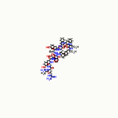 CCC(C)[C@H](NC(=O)[C@H](Cc1ccccc1)NC(=O)[C@H](CO)NC(=O)[C@H](CO)NC(=O)[C@H](Cc1ccc(O)cc1)NC(=O)CNC(=O)[C@H](CCCNC(=N)N)NC(=O)[C@H](C)N)C(=O)N[C@@H](Cc1ccc(O)cc1)C(=O)N[C@@H](Cc1c[nH]c2ccccc12)C(=O)N[C@@H](Cc1ccccc1)C(=O)N[C@@H](Cc1ccccc1)C(=O)N[C@@H](CC(=O)O)C(=O)N[C@@H](Cc1ccccc1)C(=O)O